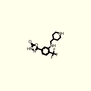 O=c1[nH]nc(-c2ccc(C(F)(F)F)c(NCC3CCNCC3)c2)o1